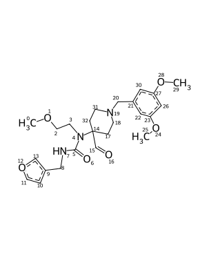 COCCN(C(=O)NCc1ccoc1)C1(C=O)CCN(Cc2cc(OC)cc(OC)c2)CC1